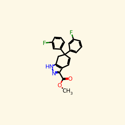 COC(=O)c1n[nH]c2c1C=CC(c1cccc(F)c1)(c1cccc(F)c1)C2